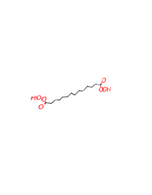 O=C(CCCCCCCCCCCCC(=O)OO)OO